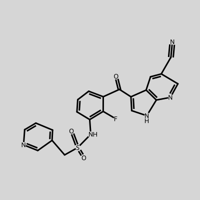 N#Cc1cnc2[nH]cc(C(=O)c3cccc(NS(=O)(=O)Cc4cccnc4)c3F)c2c1